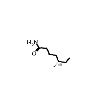 CC[C@H](C)CCCC(N)=O